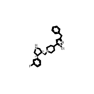 CCn1nc(Cc2ccccc2)cc1C1CCN(C[C@@H]2CNC[C@@H]2c2cccc(F)c2)CC1